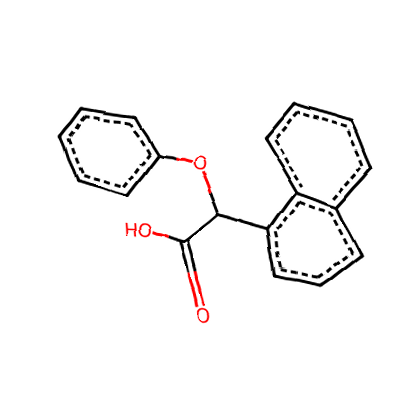 O=C(O)C(Oc1ccccc1)c1cccc2ccccc12